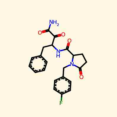 NC(=O)C(=O)C(Cc1ccccc1)NC(=O)C1CCC(=O)N1Cc1ccc(F)cc1